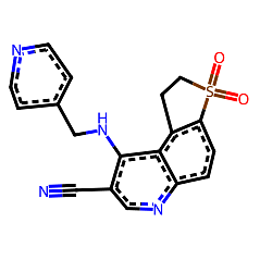 N#Cc1cnc2ccc3c(c2c1NCc1ccncc1)CCS3(=O)=O